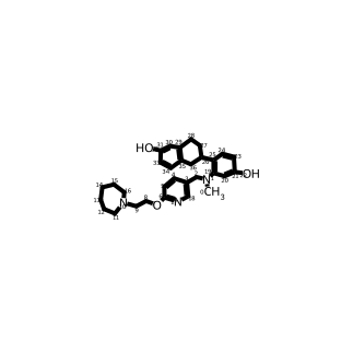 CN(Cc1ccc(OCCN2CCCCCC2)nc1)c1cc(O)ccc1C1CCc2cc(O)ccc2C1